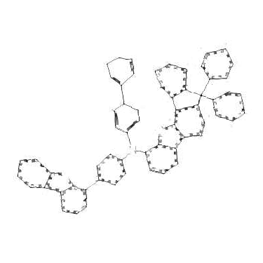 C1=CC(C2C=CC(N(c3ccc(-c4cccc5c4sc4ccccc45)cc3)c3cccc4c3oc3c5c(ccc34)C(c3ccccc3)(c3ccccc3)c3ccccc3-5)=CC2)=CCC1